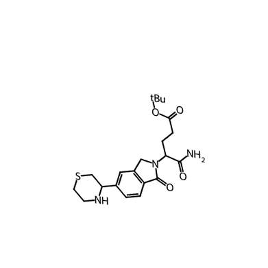 CC(C)(C)OC(=O)CCC(C(N)=O)N1Cc2cc(C3CSCCN3)ccc2C1=O